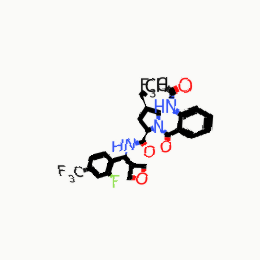 C=C[C@@H]1C[C@H](C(=O)N[C@@H](c2ccc(C(F)(F)F)cc2F)C2COC2)N(C(=O)c2ccccc2NC(=O)C(F)(F)F)C1